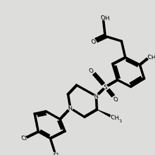 Cc1ccc(S(=O)(=O)N2CCN(c3ccc(Cl)c(Cl)c3)C[C@@H]2C)cc1CC(=O)O